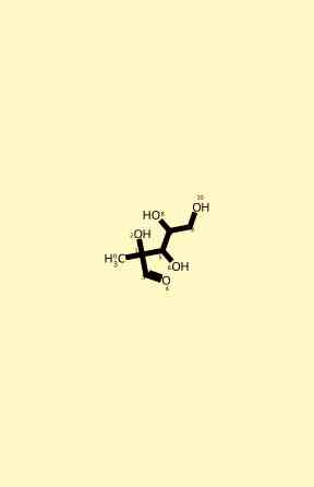 CC(O)(C=O)C(O)C(O)CO